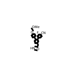 COCCOc1ccc(-c2ccc(CC3CNCCO3)cc2-c2ccc(C#N)c(F)c2)cc1